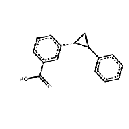 O=C(O)c1cccc([C@@H]2CC2c2ccccc2)c1